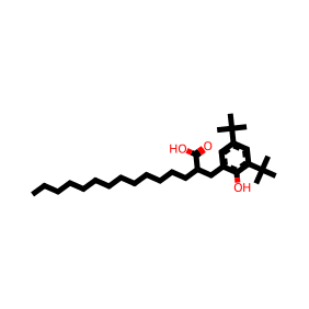 CCCCCCCCCCCCCC(Cc1cc(C(C)(C)C)cc(C(C)(C)C)c1O)C(=O)O